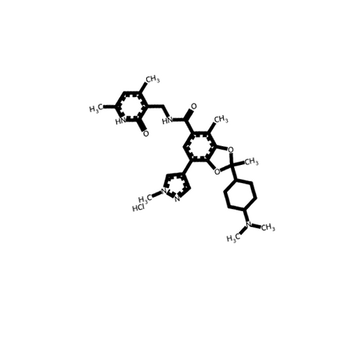 Cc1cc(C)c(CNC(=O)c2cc(-c3cnn(C)c3)c3c(c2C)OC(C)(C2CCC(N(C)C)CC2)O3)c(=O)[nH]1.Cl